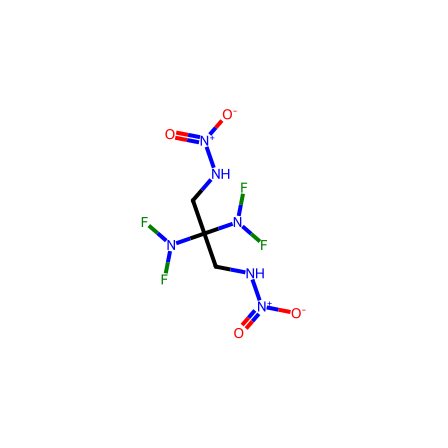 O=[N+]([O-])NCC(CN[N+](=O)[O-])(N(F)F)N(F)F